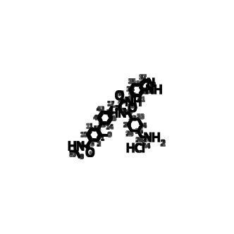 Cc1cc(C(=O)NC(C)C)ccc1-c1ccc(C[C@@H](NC(=O)C2CCC(CN)CC2)C(=O)Nc2ccc3cn[nH]c3c2)cc1.Cl